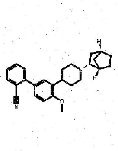 COc1ccc(-c2ccccc2C#N)cc1C1CCN([C@@H]2C[C@H]3CC[C@H]2C3)CC1